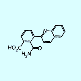 NC(=O)c1c(C(=O)O)cccc1-c1ccc2ccccc2n1